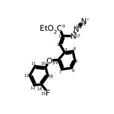 CCOC(=O)C(=Cc1ccccc1Oc1cccc(F)c1)N=[N+]=[N-]